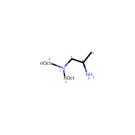 CCCCCCCCN(CCCCCCCC)CC(C)N